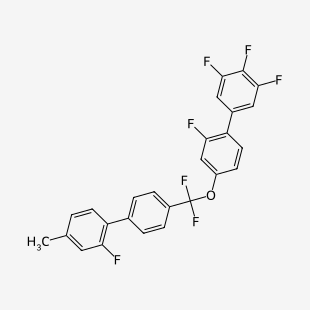 Cc1ccc(-c2ccc(C(F)(F)Oc3ccc(-c4cc(F)c(F)c(F)c4)c(F)c3)cc2)c(F)c1